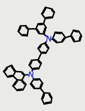 c1ccc(-c2ccc(N(c3ccc(-c4ccc(N(c5ccc(-c6ccccc6)cc5)c5cc6ccccc6c6ccccc56)cc4)cc3)c3cc(-c4ccccc4)cc(-c4ccccc4)c3)cc2)cc1